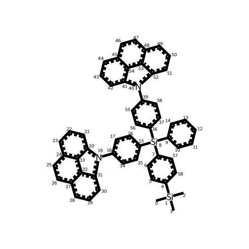 C[Si](C)(C)c1ccc([Si](c2ccccc2)(c2ccc(-n3c4cccc5ccc6cccc3c6c54)cc2)c2ccc(-n3c4cccc5ccc6cccc3c6c54)cc2)cc1